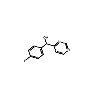 OC(c1ccc(F)cc1)c1ccncn1